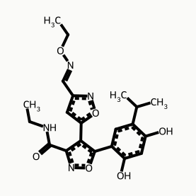 CCNC(=O)c1noc(-c2cc(C(C)C)c(O)cc2O)c1-c1cc(C=NOCC)no1